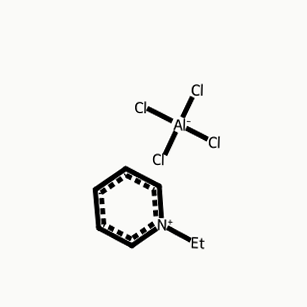 CC[n+]1ccccc1.[Cl][Al-]([Cl])([Cl])[Cl]